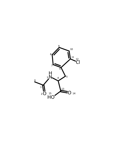 CC(=O)NC(Cc1ccccc1Cl)C(=O)O